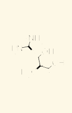 C=C(CO)CO.NC(N)=S